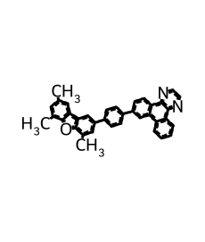 Cc1cc(C)c2oc3c(C)cc(-c4ccc(-c5ccc6c(c5)c5ccccc5c5nccnc65)cc4)cc3c2c1